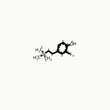 C[Si](C)(C)CCc1ccc(O)c(F)c1